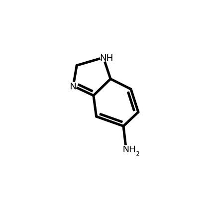 NC1=CC2=NCNC2C=C1